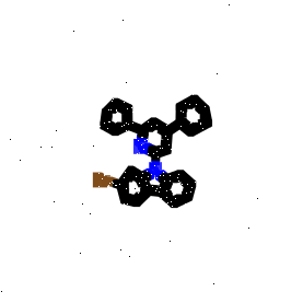 Brc1ccc2c3ccccc3n(-c3cc(-c4ccccc4)cc(-c4ccccc4)n3)c2c1